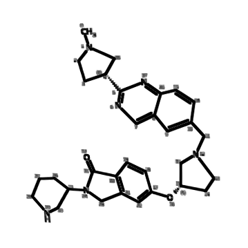 CN1CC[C@@H](c2ncc3cc(CN4CC[C@H](Oc5ccc6c(c5)CN(C5CCCNC5)C6=O)C4)ccc3n2)C1